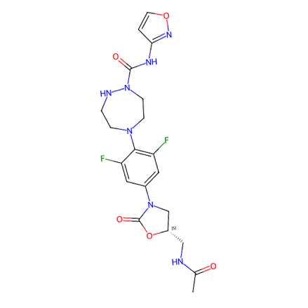 CC(=O)NC[C@H]1CN(c2cc(F)c(N3CCNN(C(=O)Nc4ccon4)CC3)c(F)c2)C(=O)O1